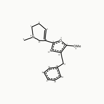 COc1oc(C2=CCCN(C)C2)nc1Cc1ccccc1